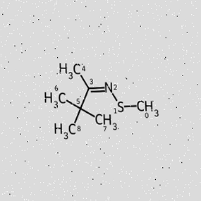 CSN=C(C)C(C)(C)C